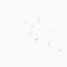 CCCCCCCC(C(=O)C(CCCCCCC)c1ccccc1)c1ccccc1